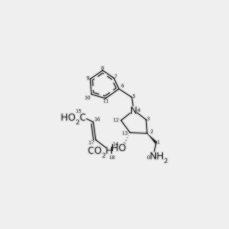 NC[C@@H]1CN(Cc2ccccc2)C[C@H]1O.O=C(O)C=CC(=O)O